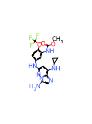 COC(=O)Nc1cc(Nc2cc(NC3CC3)c3ncc(N)n3n2)ccc1OC(F)(F)F